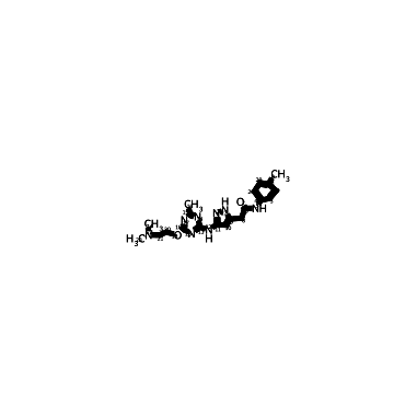 Cc1ccc(NC(=O)Cc2cc(Nc3nc(C)nc(OCCN(C)C)n3)n[nH]2)cc1